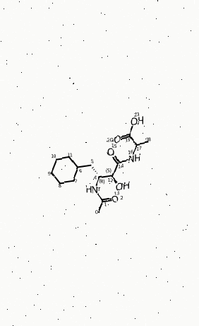 CC(=O)N[C@H](CC1CCCCC1)[C@H](O)C(=O)NC(C)C(=O)O